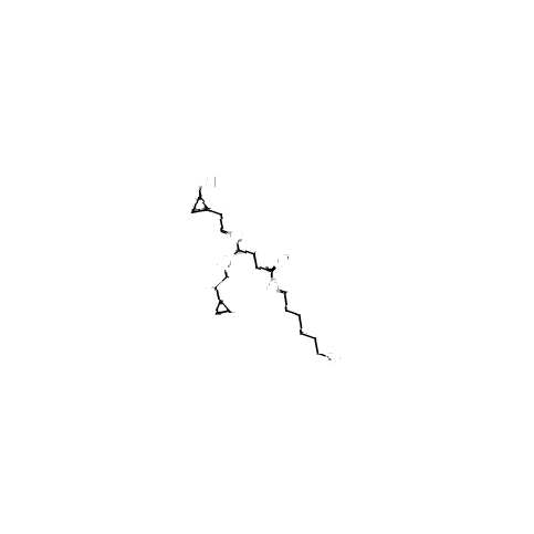 CC1CC1CCOC(CCC(=O)OCCCCCCBr)OCCC1CC1